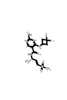 C[C@@H](/C=C/S(C)(=O)=O)NC(=O)c1cnc(C(C)(C)C)nc1OC1CC(F)(F)C1